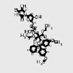 CCOC(=O)C(COC(c1ccccc1)(c1ccc(OC)cc1)c1ccc(OC)cc1)(COP(=O)(O)OC[C@H]1O[C@@H](n2cc(C)c(=O)[nH]c2=O)C[C@@H]1O)C(=O)OCC